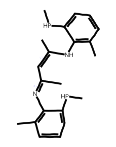 CPc1cccc(C)c1/N=C(C)/C=C(/C)Nc1c(C)cccc1PC